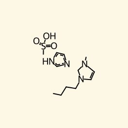 CCCCN1C=CN(C)C1.CS(=O)(=O)O.c1c[nH]cn1